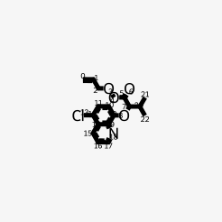 C=CCOOC(=O)C(Oc1ccc(Cl)c2cccnc12)C(C)C